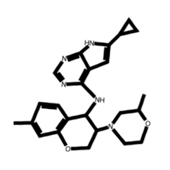 Cc1ccc2c(c1)OCC(N1CCOC(C)C1)C2Nc1ncnc2[nH]c(C3CC3)cc12